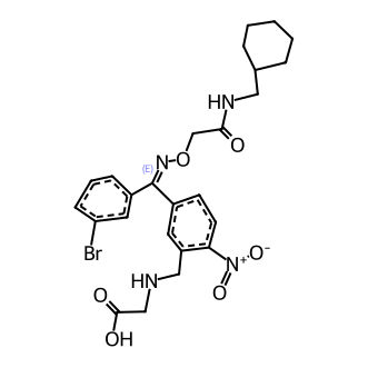 O=C(O)CNCc1cc(/C(=N\OCC(=O)NCC2CCCCC2)c2cccc(Br)c2)ccc1[N+](=O)[O-]